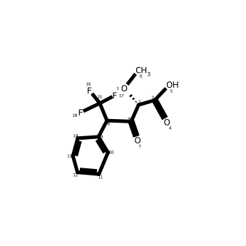 CO[C@H](C(=O)O)C(=O)C(c1ccccc1)C(F)(F)F